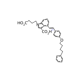 O=C(O)CCCn1cc(C(=O)O)c2c(/C=C/c3ccc(OCCCCc4ccccc4)cc3)cccc21